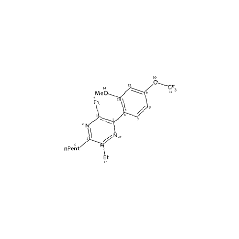 CCCCCc1nc(CC)c(-c2ccc(OC(F)(F)F)cc2OC)nc1CC